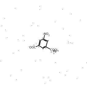 O=C([O-])c1cc(C(=O)[O-])cc([N+](=O)[O-])c1.[Pb+2]